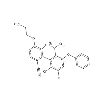 CCCOc1ccc(C#N)c(-c2c(Cl)c(F)cc(Oc3ccccc3)c2C(C)C)c1F